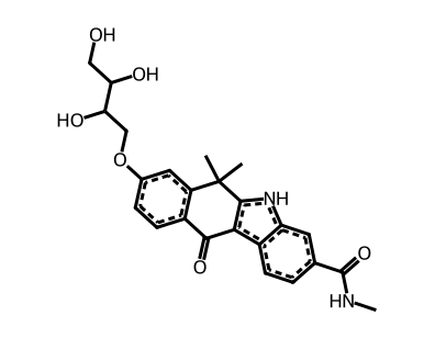 CNC(=O)c1ccc2c3c([nH]c2c1)C(C)(C)c1cc(OCC(O)C(O)CO)ccc1C3=O